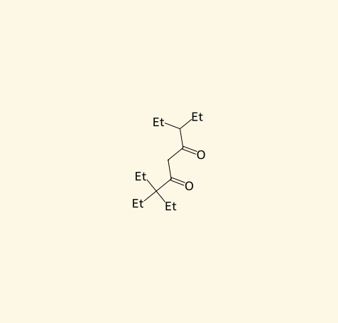 CCC(CC)C(=O)CC(=O)C(CC)(CC)CC